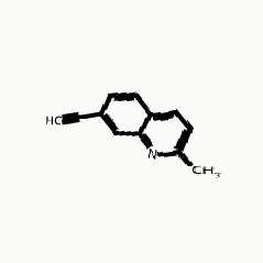 C#Cc1ccc2ccc(C)nc2c1